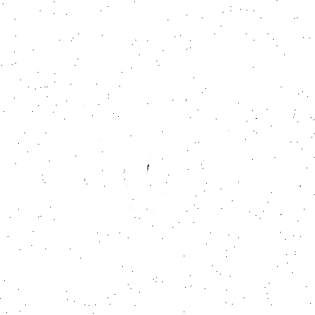 Fc1ccc(N(c2ccc(F)c(Cl)c2)[C@H]2CCNC2)cn1